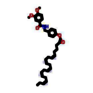 CC/C=C\C/C=C\C/C=C\C/C=C\C/C=C\CCCC1OC1Oc1ccc(CNC(=O)c2ccc(OC)c(OC)c2)cc1